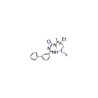 C=C/C=C\C[C@@H](CC)[C@H](C)N(C)/C(Cl)=N\C(=N)c1cccc(-c2ccccc2)c1